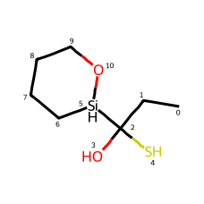 CCC(O)(S)[SiH]1CCCCO1